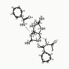 CC(=O)N(C[C@@H]1NC(=N)N2C[C@H](NC(=O)c3ccccc3)[C@@H](O)C23NC(=N)NC13)C(=O)c1ccccc1